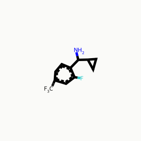 NC(c1ccc(C(F)(F)F)cc1F)C1CC1